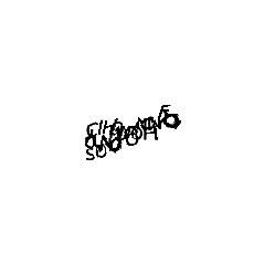 O=C(Nc1cccc2c1C(=O)N(CC(O)CN1CCN(c3ccccc3F)CC1)C2=O)C1=CC(Cl)=CCC1=S